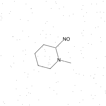 CN1CCCCC1N=O